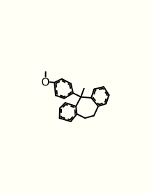 COc1ccc(C2(C)c3ccccc3CCc3ccccc32)cc1